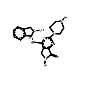 CC(=O)N1CCN(c2nc(N[C@@H]3c4ccccc4C[C@H]3O)c3c(n2)C(=O)N(C(C)C)C3)CC1